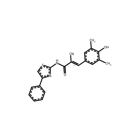 Cc1cc(/C=C(\C#N)C(=O)Nc2nc(-c3ccccc3)cs2)cc(C)c1O